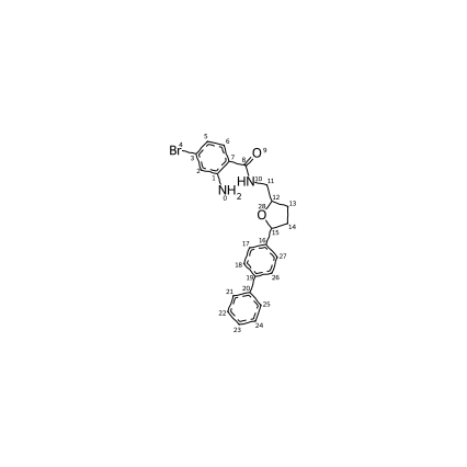 Nc1cc(Br)ccc1C(=O)NCC1CCC(c2ccc(-c3ccccc3)cc2)O1